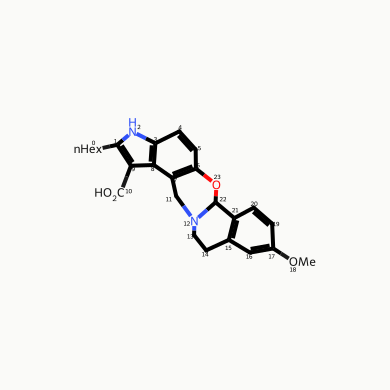 CCCCCCc1[nH]c2ccc3c(c2c1C(=O)O)CN1CCc2cc(OC)ccc2C1O3